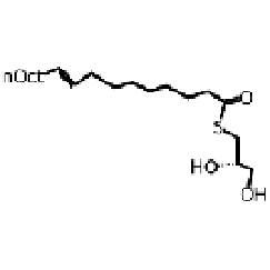 CCCCCCCC/C=C/CCCCCCCC(=O)SC[C@@H](O)CO